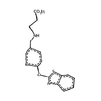 CCOC(=O)CCNCc1ccc(Oc2nc3ccccc3s2)cc1